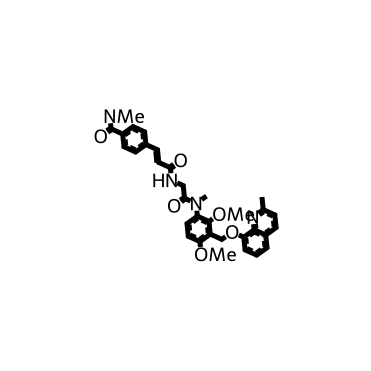 CNC(=O)c1ccc(C=CC(=O)NCC(=O)N(C)c2ccc(OC)c(COc3cccc4ccc(C)nc34)c2OC)cc1